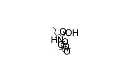 CCCC(C)CC(CC(=O)O)NC(=O)O[C@H](OC(C)=O)C(C)C